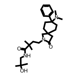 CN(C)C1(c2ccccc2)CCC2(CC1)CC(=O)N(CCC(C)(C)C(=O)NCC(C)(C)O)C2